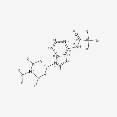 CC(C)N(C(C)C)C(C)CCn1ncc2c(NC(=O)C(C)(C)C)ncnc21